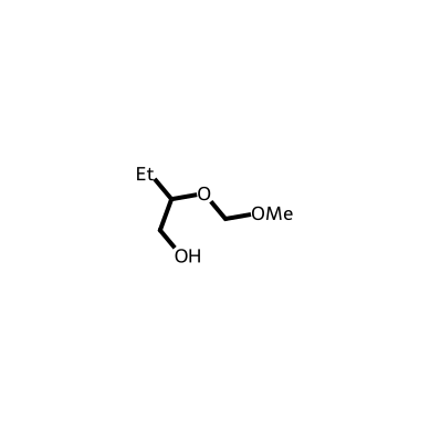 CCC(CO)OCOC